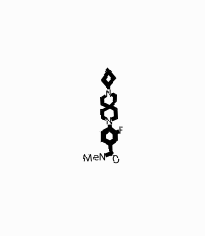 CNC(=O)c1ccc(N2CCC3(CC2)CCN(C2CCC2)CC3)c(F)c1